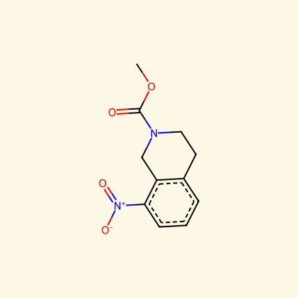 COC(=O)N1CCc2cccc([N+](=O)[O-])c2C1